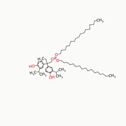 CCCCCCCCCCCCCCCCCOP(OCCCCCCCCCCCCCCCCC)OCC(CC)(c1ccc(O)c(C(C)C)c1)c1ccc(O)c(C(C)C)c1